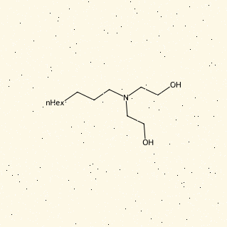 CCCCCCCCCN(CCO)CCO